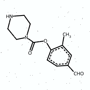 Cc1cc(C=O)ccc1OC(=O)N1CCNCC1